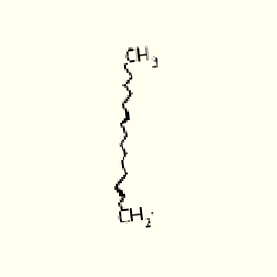 [CH2]CC=CCCCCCC=CCCCCCC